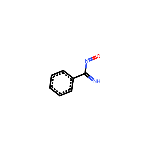 N=C(N=O)c1ccccc1